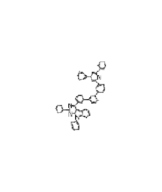 c1ccc(-c2cc(-c3ccccc3)nc(-c3cccc(-c4cccc(-c5cccc(-c6nc(-c7ccccc7)nc7c6c6ccccc6n7-c6ccccc6)c5)c4)c3)c2)cc1